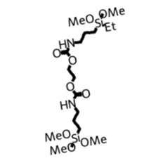 CC[Si](CCCNC(=O)OCCOC(=O)NCCC[Si](OC)(OC)OC)(OC)OC